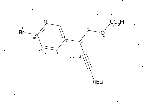 CCCCC#CC(COC(=O)O)c1ccc(Br)cc1